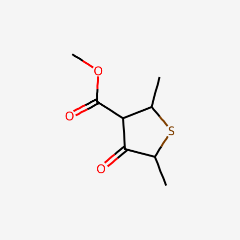 COC(=O)C1C(=O)C(C)SC1C